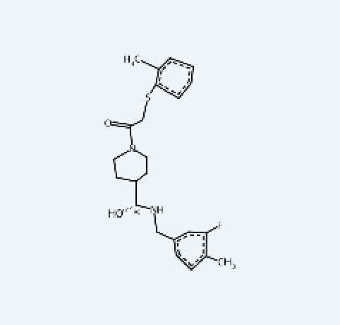 Cc1ccc(CN[C@H](O)C2CCN(C(=O)CSc3ccccc3C)CC2)cc1F